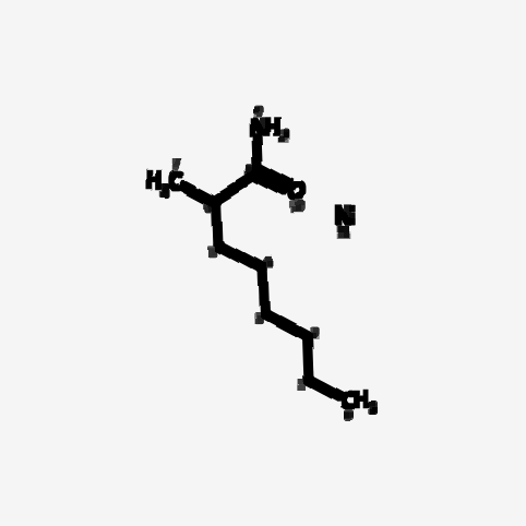 CCCCCCC(C)C(N)=O.[N]